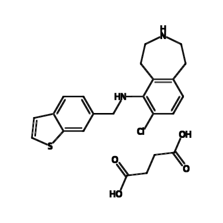 Clc1ccc2c(c1NCc1ccc3ccsc3c1)CCNCC2.O=C(O)CCC(=O)O